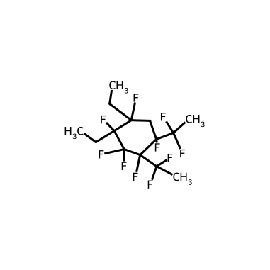 CCC1(F)CC(F)(C(C)(F)F)C(F)(C(C)(F)F)C(F)(F)C1(F)CC